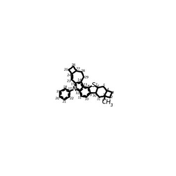 CC12CCC1CC1Sc3c(ccc4c3c3c(n4-c4ccccc4)C=C4CCC4CC3)C1C2